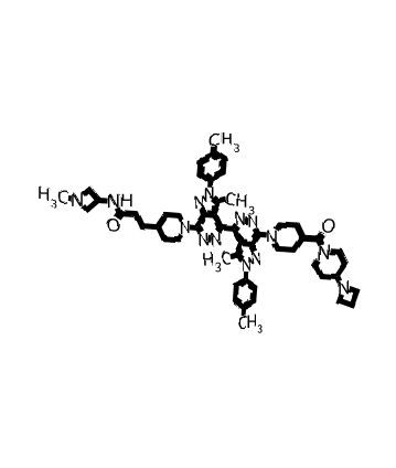 Cc1ccc(-n2nc3c(N4CCC(CCC(=O)NC5CN(C)C5)CC4)nnc(-c4nnc(N5CCC(C(=O)N6CCC(N7CCC7)CC6)CC5)c5nn(-c6ccc(C)cc6)c(C)c45)c3c2C)cc1